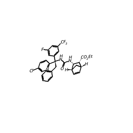 CCOC(=O)[C@H]1[C@@H](NC(=O)N[C@@](Cc2ccccc2)(c2cc(F)cc(C(F)(F)F)c2)c2ccc(Cl)cn2)[C@H]2C=C[C@@H]1C2